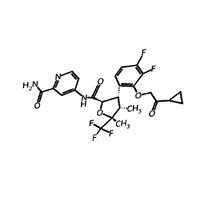 C[C@H]1[C@@H](c2ccc(F)c(F)c2OCC(=O)C2CC2)[C@H](C(=O)Nc2ccnc(C(N)=O)c2)O[C@@]1(C)C(F)(F)F